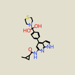 CC1CC1C(=O)Nc1cc(-c2ccc(C(O)(O)N3CCSCC3)cc2)c2cc[nH]c2n1